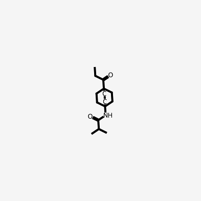 CCC(=O)C12CCC(NC(=O)C(C)C)(CC1)CC2